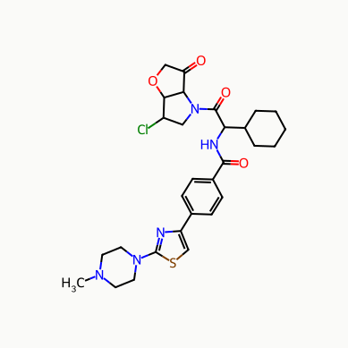 CN1CCN(c2nc(-c3ccc(C(=O)NC(C(=O)N4CC(Cl)C5OCC(=O)C54)C4CCCCC4)cc3)cs2)CC1